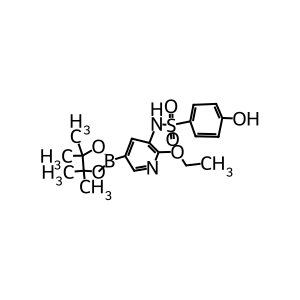 CCOc1ncc(B2OC(C)(C)C(C)(C)O2)cc1NS(=O)(=O)c1ccc(O)cc1